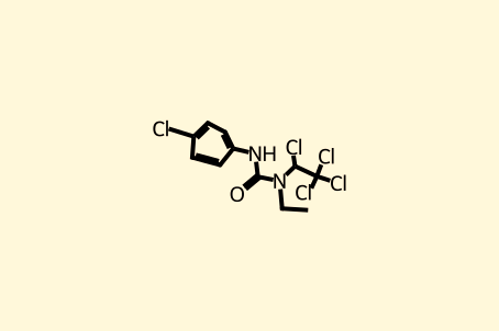 CCN(C(=O)Nc1ccc(Cl)cc1)C(Cl)C(Cl)(Cl)Cl